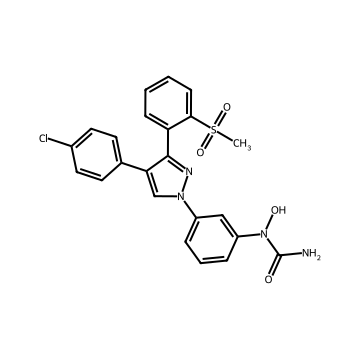 CS(=O)(=O)c1ccccc1-c1nn(-c2cccc(N(O)C(N)=O)c2)cc1-c1ccc(Cl)cc1